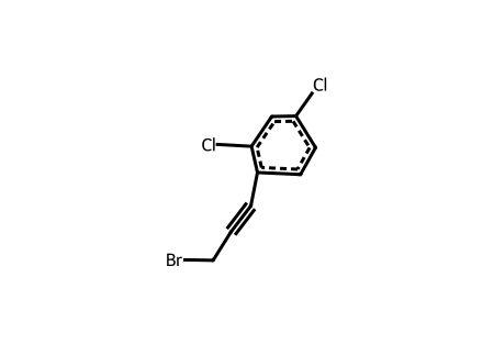 Clc1ccc(C#CCBr)c(Cl)c1